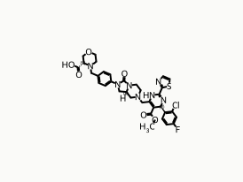 COC(=O)C1=C(CN2CCN3C(=O)N(c4ccc(CN5CCOC[C@H]5C(=O)O)cc4)C[C@@H]3C2)NC(c2nccs2)=N[C@H]1c1ccc(F)cc1Cl